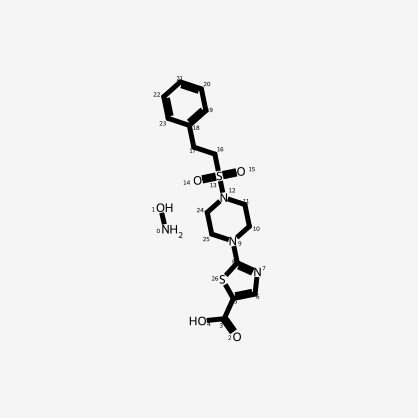 NO.O=C(O)c1cnc(N2CCN(S(=O)(=O)CCc3ccccc3)CC2)s1